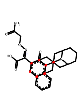 NC(=O)CO/N=C(\C(=O)O)c1nc2ccccc2n(C2CC3CCCC(C2)N3C2CC3CCCC(C3)C2)c1=O